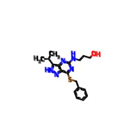 CC(C)c1[nH]nc2c(SCc3ccccc3)nc(NCCCO)nc12